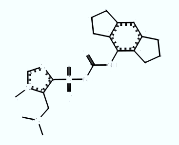 CN(C)Cc1c(S(=O)(=O)NC(=O)Nc2c3c(cc4c2CCC4)CCC3)ncn1C